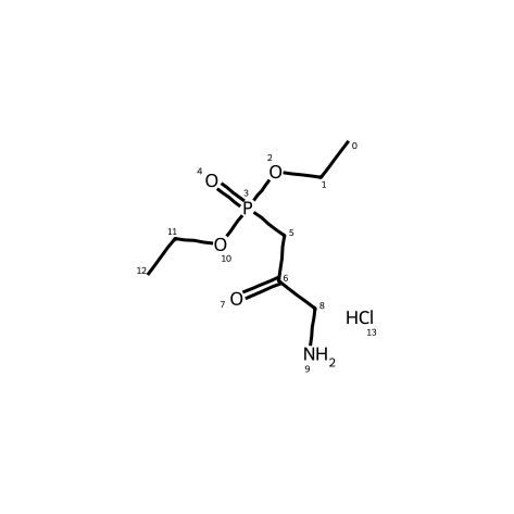 CCOP(=O)(CC(=O)CN)OCC.Cl